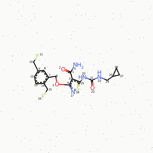 NC(=O)c1c(OCc2cc(CF)ccc2CF)nsc1NC(=O)NCC1CC1